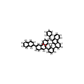 c1ccc(N(c2ccccc2)c2c3c4c(cccc4c4ccccc24)-c2cccc(-c4ccc5cc(-c6ccc7ccccc7c6)ccc5c4)c2O3)cc1